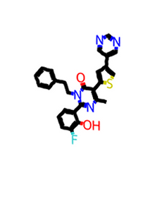 Cc1nc(-c2cccc(F)c2O)n(CCc2ccccc2)c(=O)c1-c1cc(-c2cncnc2)cs1